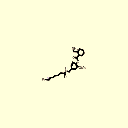 COc1cc(CNC(=O)CCCC/C=C/C(C)C)ccc1OC(=O)C1CCCCC1CN